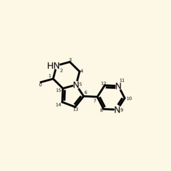 CC1NCCn2c(-c3cncnc3)ccc21